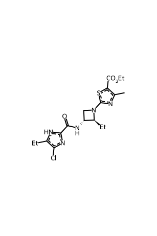 CCOC(=O)c1sc(N2C[C@@H](NC(=O)c3nc(Cl)c(CC)[nH]3)[C@@H]2CC)nc1C